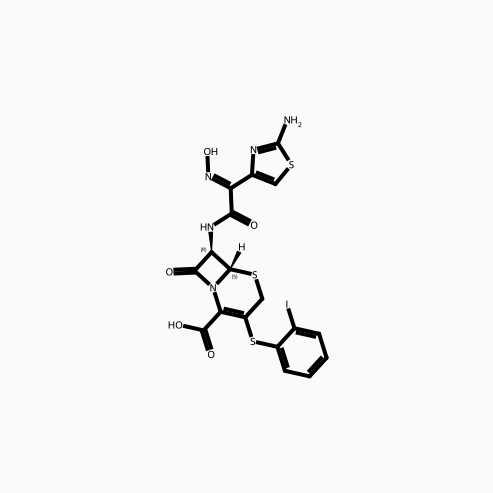 Nc1nc(C(=NO)C(=O)N[C@@H]2C(=O)N3C(C(=O)O)=C(Sc4ccccc4I)CS[C@@H]23)cs1